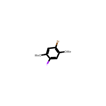 COc1cc(I)c(OC)cc1Br